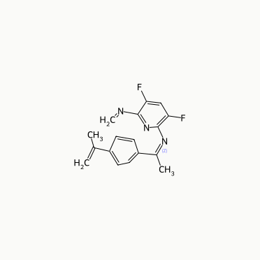 C=Nc1nc(/N=C(/C)c2ccc(C(=C)C)cc2)c(F)cc1F